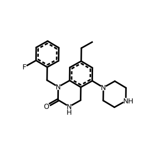 CCc1cc(N2CCNCC2)c2c(c1)N(Cc1ccccc1F)C(=O)NC2